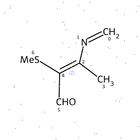 C=N/C(C)=C(/C=O)SC